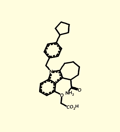 NC(=O)C1CCCCc2c1c1c(OCC(=O)O)cccc1n2Cc1ccc(C2CCCC2)cc1